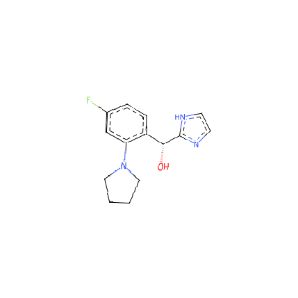 O[C@@H](c1ncc[nH]1)c1ccc(F)cc1N1CCCC1